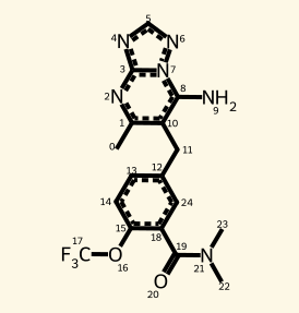 Cc1nc2ncnn2c(N)c1Cc1ccc(OC(F)(F)F)c(C(=O)N(C)C)c1